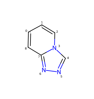 [c]1[c]cn2cnnc2c1